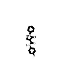 O=C(Nc1ccc(F)cc1)C1C=NN(c2ccccc2)C1=O